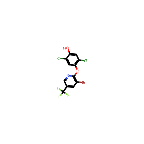 Oc1cc(Cl)c(Oc2ncc(C(F)(F)F)cc2Br)cc1Cl